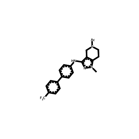 CC(=O)N1CCc2c(c(Nc3ccc(-c4ccc(C(F)(F)F)cc4)cc3)nn2C)C1